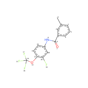 Cc1cccc(C(=O)Nc2ccc(OC(F)(F)F)c(F)c2)c1